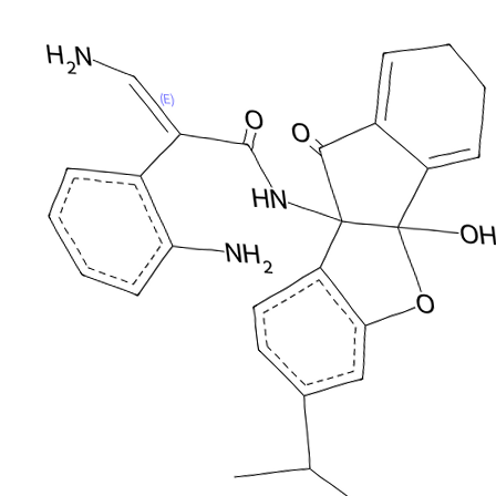 CC(C)c1ccc2c(c1)OC1(O)C3=CCCC=C3C(=O)C21NC(=O)/C(=C/N)c1ccccc1N